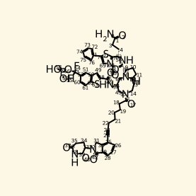 NC(=O)CC[C@H](NC(=O)[C@@H]1CC[C@@H]2CCN(C(=O)CCCCCC#Cc3cccc4c3CN(C3CCC(=O)NC3=O)C4=O)C[C@H](NC(=O)c3cc4cc(C(F)(F)OP(O)O)ccc4s3)C(=O)N21)c1ncc(-c2ccccc2)s1